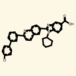 O=C(O)c1ccc2c(c1)nc(-c1ccc3nc(-c4cccc(-c5ccc(Cl)cc5)c4)ccc3c1)n2C1CCCCC1